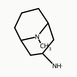 CN1C2CCCC1CC([NH])C2